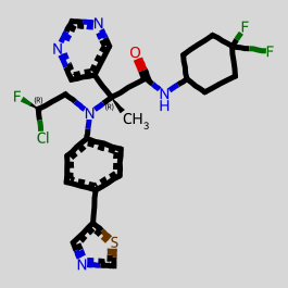 C[C@](C(=O)NC1CCC(F)(F)CC1)(c1cncnc1)N(C[C@H](F)Cl)c1ccc(-c2cncs2)cc1